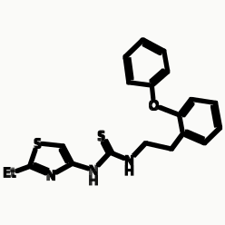 CCc1nc(NC(=S)NCCc2ccccc2Oc2ccccc2)cs1